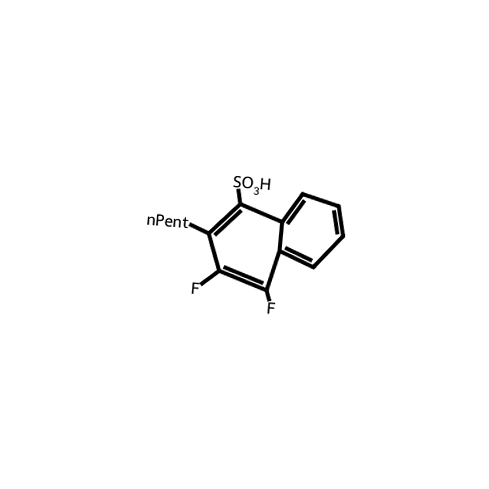 CCCCCc1c(F)c(F)c2ccccc2c1S(=O)(=O)O